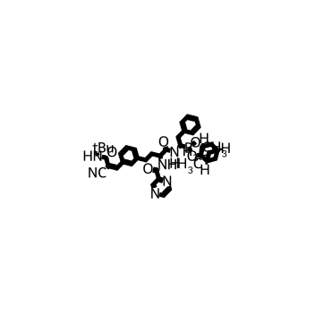 CC(C)(C)NC(=O)C(C#N)=Cc1cccc(CCC(NC(=O)c2cnccn2)C(=O)NC(Cc2ccccc2)B2O[C@@H]3C[C@@H]4C[C@@H](C4(C)C)[C@]3(C)O2)c1